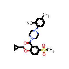 CS(=O)(=O)c1ccc(OCC2CC2)c(C(=O)N2CCN(c3ccc(C(F)(F)F)cc3C#N)CC2)c1